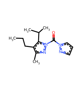 CCCc1c(C)nn(C(=O)n2cccn2)c1C(C)C